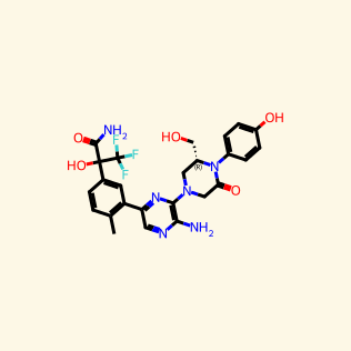 Cc1ccc(C(O)(C(N)=O)C(F)(F)F)cc1-c1cnc(N)c(N2CC(=O)N(c3ccc(O)cc3)[C@@H](CO)C2)n1